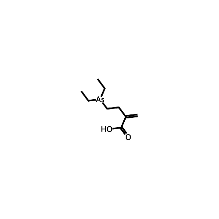 C=C(CC[As](CC)CC)C(=O)O